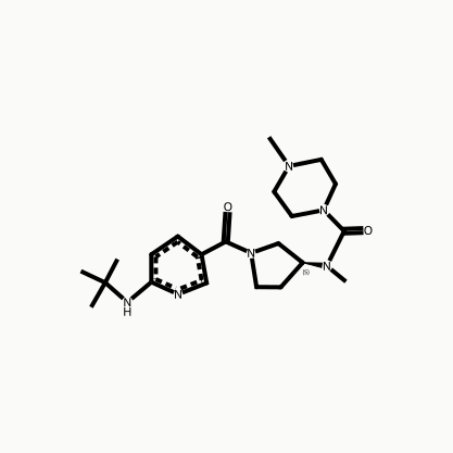 CN1CCN(C(=O)N(C)[C@H]2CCN(C(=O)c3ccc(NC(C)(C)C)nc3)C2)CC1